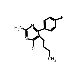 CCCCc1c(Cl)nc(N)nc1-c1ccc(F)cc1